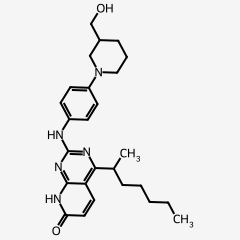 CCCCCC(C)c1nc(Nc2ccc(N3CCCC(CO)C3)cc2)nc2[nH]c(=O)ccc12